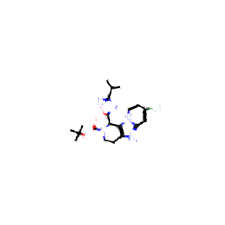 CC(C)c1noc(C2c3c(nc4cc(Cl)ccn34)CCN2C(=O)OC(C)(C)C)n1